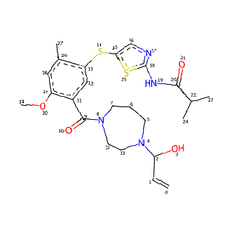 C=CC(O)N1CCCN(C(=O)c2cc(Sc3cnc(NC(=O)C(C)C)s3)c(C)cc2OC)CC1